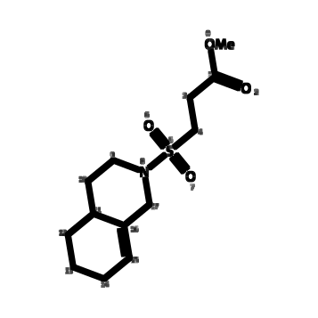 COC(=O)CCS(=O)(=O)N1CCC2CCCC=C2C1